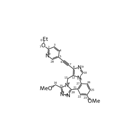 CCOc1ccc(C#Cc2ncn3c2Cn2c(COC)nnc2-c2cc(OC)ccc2-3)cn1